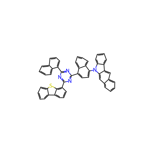 c1ccc2cc3c(cc2c1)c1ccccc1n3-c1ccc(-c2nc(-c3cccc4ccccc34)nc(-c3cccc4c3sc3ccccc34)n2)c2ccccc12